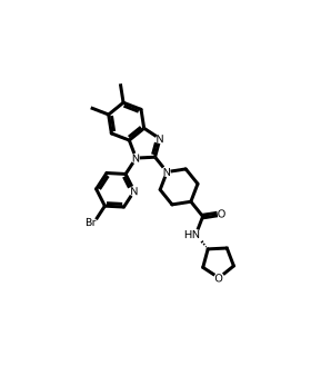 Cc1cc2nc(N3CCC(C(=O)N[C@@H]4CCOC4)CC3)n(-c3ccc(Br)cn3)c2cc1C